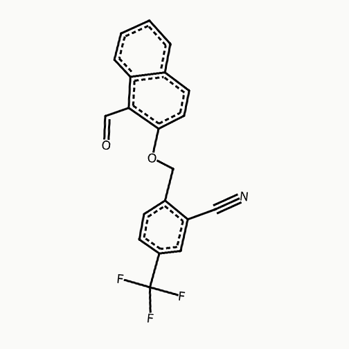 N#Cc1cc(C(F)(F)F)ccc1COc1ccc2ccccc2c1C=O